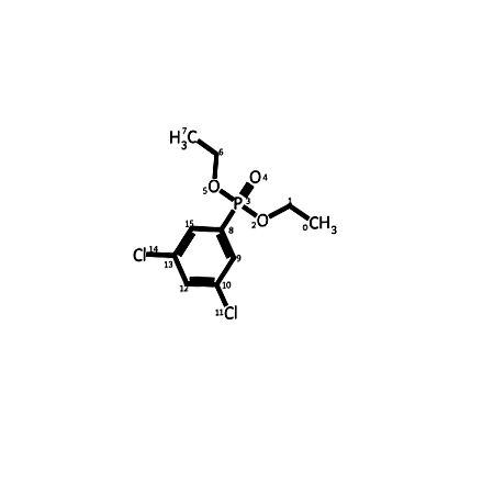 CCOP(=O)(OCC)c1cc(Cl)cc(Cl)c1